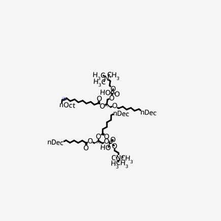 CCCCCCCC/C=C\CCCCCCCC(=O)O[C@H](COCCCCCCCCCCCCCCCC)COP(=O)(O)OCC[N+](C)(C)C.CCCCCCCCCCCCCCCC(=O)OC[C@H](COP(=O)(O)OCC[N+](C)(C)C)OC(=O)CCCCCCCCCCCCCCC